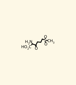 CS(=O)(=O)CCCC(=O)C(N)C(=O)O